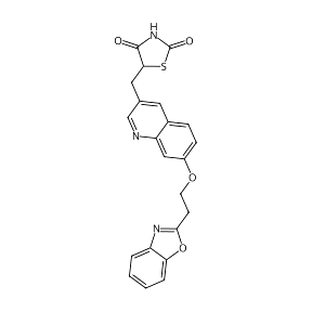 O=C1NC(=O)C(Cc2cnc3cc(OCCc4nc5ccccc5o4)ccc3c2)S1